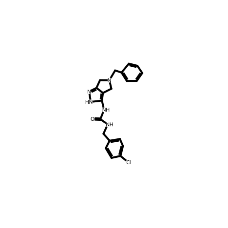 O=C(NCc1ccc(Cl)cc1)Nc1[nH]nc2c1CN(Cc1ccccc1)C2